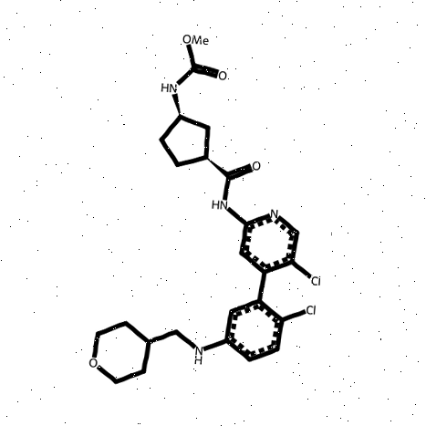 COC(=O)N[C@@H]1CC[C@H](C(=O)Nc2cc(-c3cc(NCC4CCOCC4)ccc3Cl)c(Cl)cn2)C1